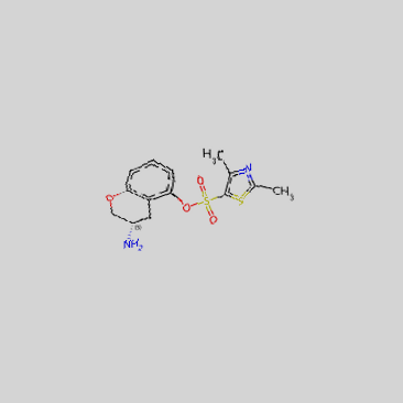 Cc1nc(C)c(S(=O)(=O)Oc2cccc3c2C[C@H](N)CO3)s1